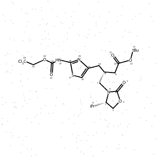 CC(C)[C@H]1COC(=O)N1C[C@@H](CC(=O)OC(C)(C)C)Cc1csc(NC(=O)OCC(Cl)(Cl)Cl)n1